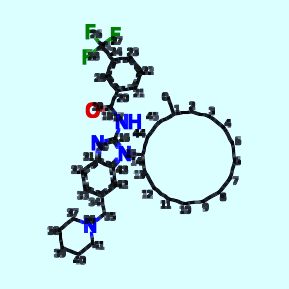 CC1CCCCCCCCCCCCC(n2c(NC(=O)c3cccc(C(F)(F)F)c3)nc3ccc(CN4CCCCC4)cc32)CC1